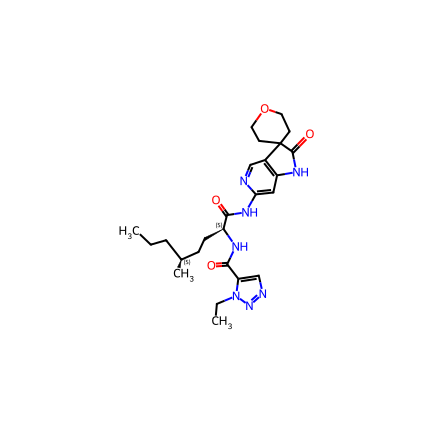 CCC[C@H](C)CC[C@H](NC(=O)c1cnnn1CC)C(=O)Nc1cc2c(cn1)C1(CCOCC1)C(=O)N2